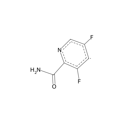 NC(=O)c1ncc(F)[c]c1F